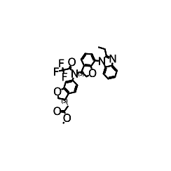 CCc1nc2ccccc2n1-c1cccc2c1OC[C@H]2N(C(=O)C(F)(F)F)c1ccc2c(c1)OC[C@H]2CC(=O)OC